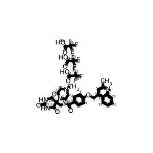 Cc1cc(COc2ccc(C(=O)NCC3(N4CCN(C)CC4)C(=O)NC(=O)NC3=O)cc2)c2ccccc2n1.O=C(O)C(F)(F)F.O=C(O)C(F)(F)F.O=C(O)C(F)(F)F